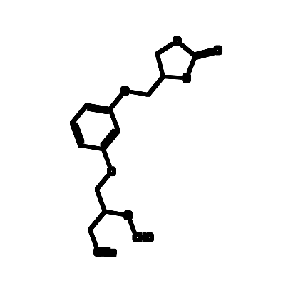 COCC(COc1cccc(OCC2COC(=O)O2)c1)OC=O